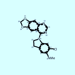 CNc1cc2c(cc1Cl)N(c1ncnc3cc4c(cc13)OCO4)CC2